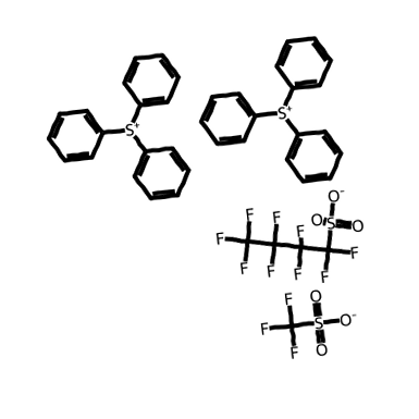 O=S(=O)([O-])C(F)(F)C(F)(F)C(F)(F)C(F)(F)F.O=S(=O)([O-])C(F)(F)F.c1ccc([S+](c2ccccc2)c2ccccc2)cc1.c1ccc([S+](c2ccccc2)c2ccccc2)cc1